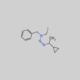 CC(/N=N\N(CI)Cc1ccccc1)C1CC1